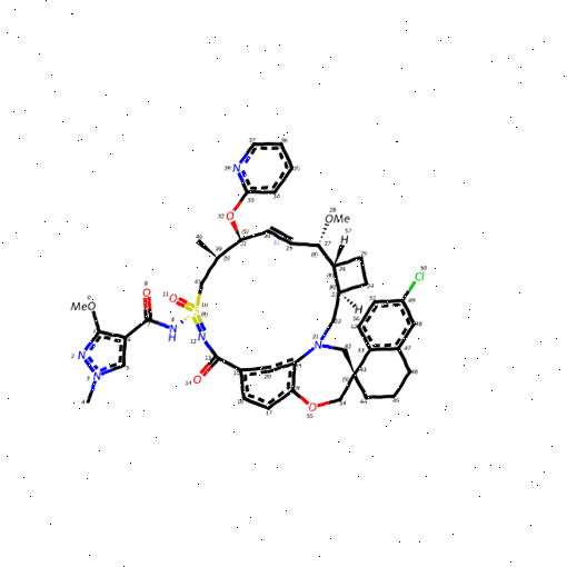 COc1nn(C)cc1C(=O)N[S@@]1(=O)=NC(=O)c2ccc3c(c2)N(C[C@@H]2CC[C@H]2[C@@H](OC)/C=C/[C@H](Oc2ccccn2)[C@H](C)C1)C[C@@]1(CCCc2cc(Cl)ccc21)CO3